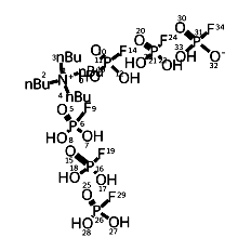 CCCC[N+](CCCC)(CCCC)CCCC.O=P(O)(O)F.O=P(O)(O)F.O=P(O)(O)F.O=P(O)(O)F.O=P(O)(O)F.O=P([O-])(O)F